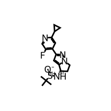 CC(C)(C)[S@@+]([O-])N[C@H]1CCn2nc(-c3cc(C4CC4)ncc3F)cc21